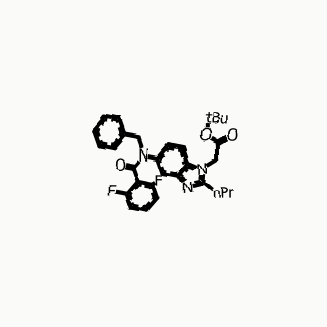 CCCc1nc2cc(N(Cc3ccccc3)C(=O)c3c(F)cccc3F)ccc2n1CC(=O)OC(C)(C)C